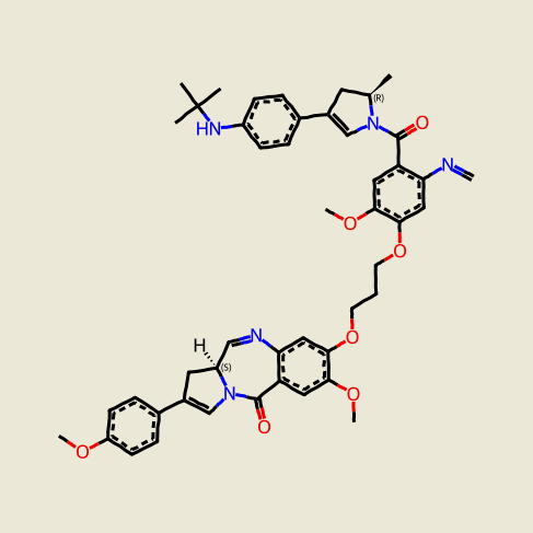 C=Nc1cc(OCCCOc2cc3c(cc2OC)C(=O)N2C=C(c4ccc(OC)cc4)C[C@H]2C=N3)c(OC)cc1C(=O)N1C=C(c2ccc(NC(C)(C)C)cc2)C[C@H]1C